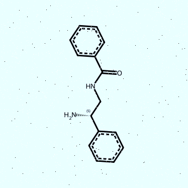 N[C@H](CNC(=O)c1ccccc1)c1ccccc1